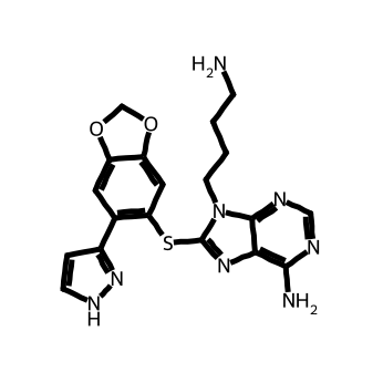 NCCCCn1c(Sc2cc3c(cc2-c2cc[nH]n2)OCO3)nc2c(N)ncnc21